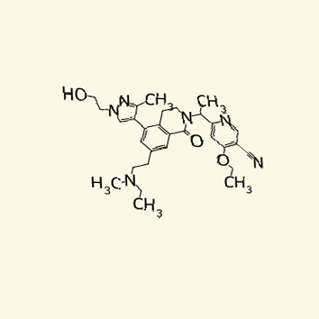 CCOc1cc(C(C)N2CCc3c(cc(CCN(C)CC)cc3-c3cn(CCO)nc3C)C2=O)ncc1C#N